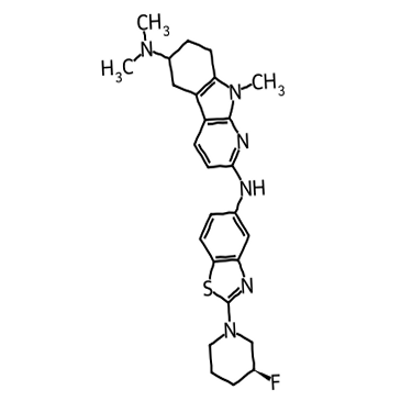 CN(C)C1CCc2c(c3ccc(Nc4ccc5sc(N6CCC[C@H](F)C6)nc5c4)nc3n2C)C1